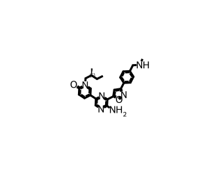 CC[C@H](C)Cn1cc(-c2cnc(N)c(-c3cc(-c4ccc(CNC)cc4)no3)n2)ccc1=O